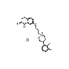 Cc1cccc(C2CC[N+](C)(CCCOc3ccc4c(c3)NC(=O)CC4)CC2)c1C.[Cl-]